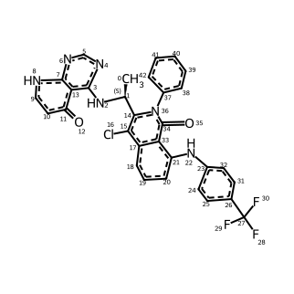 C[C@H](Nc1ncnc2[nH]ccc(=O)c12)c1c(Cl)c2cccc(Nc3ccc(C(F)(F)F)cc3)c2c(=O)n1-c1ccccc1